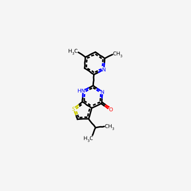 Cc1cc(C)nc(-c2nc(=O)c3c(C(C)C)csc3[nH]2)c1